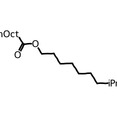 CCCCCCCCC(=O)OCCCCCCCC(C)C